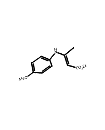 CCOC(=O)C=C(C)Nc1ccc(OC)cc1